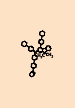 CC1(C)c2ccccc2-c2c(-c3ccc(C4CCCCC4)cc3)cc(N(c3ccc(-c4ccc(C5CC6CCC5C6)cc4)cc3)c3ccc(C4CCCCC4)cc3)cc21